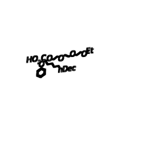 CCCCCCCCCCCCCCC(OCCOCCOCCOCC)(Oc1ccccc1)C(=O)O